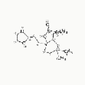 CC[C@H]1CC(C)(C)CC[C@@]1(CCC1OCCO1)OC(C)=O